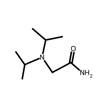 CC(C)N(CC(N)=O)C(C)C